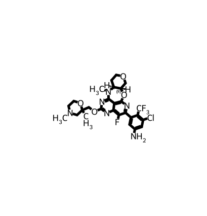 CN1CCOC(C)(COc2nc3c4c(nc(-c5cc(N)cc(Cl)c5C(F)(F)F)c(F)c4n2)O[C@H]2COCC[C@@H]2N3C)C1